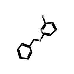 Brc1cccc(SCc2ccccc2)n1